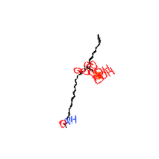 CCCCCCCC(=O)O[C@@H](COC(=O)CCCCCCCCCCCCCCNC(C)=O)COP(=O)(O)O